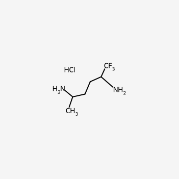 CC(N)CCC(N)C(F)(F)F.Cl